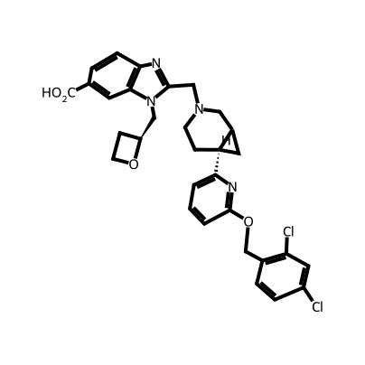 O=C(O)c1ccc2nc(CN3CC[C@]4(c5cccc(OCc6ccc(Cl)cc6Cl)n5)C[C@@H]4C3)n(C[C@@H]3CCO3)c2c1